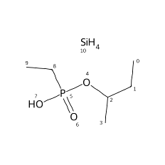 CCC(C)OP(=O)(O)CC.[SiH4]